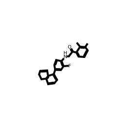 Cc1cccc(C(=O)CNc2ccc(-c3cccc4c3C=CCC4)cc2F)c1C